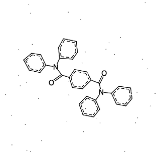 O=C(c1ccc(C(=O)N(c2ccccc2)c2ccccc2)cc1)N(c1ccccc1)c1ccccc1